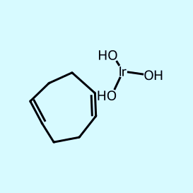 C1=CCCC=CCC1.[OH][Ir]([OH])[OH]